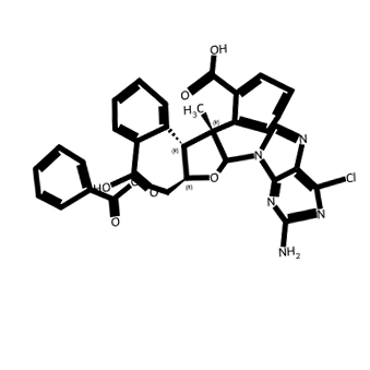 C[C@@]1(c2ccccc2C(=O)O)C(n2cnc3c(Cl)nc(N)nc32)O[C@@H](COC(=O)c2ccccc2)[C@@H]1c1ccccc1C(=O)O